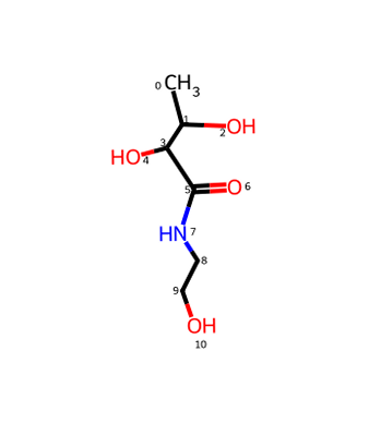 CC(O)C(O)C(=O)NCCO